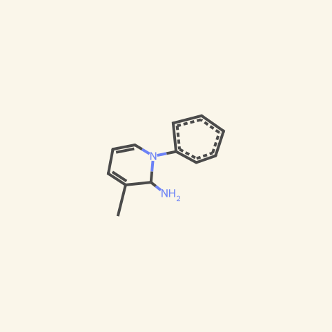 CC1=CC=CN(c2ccccc2)C1N